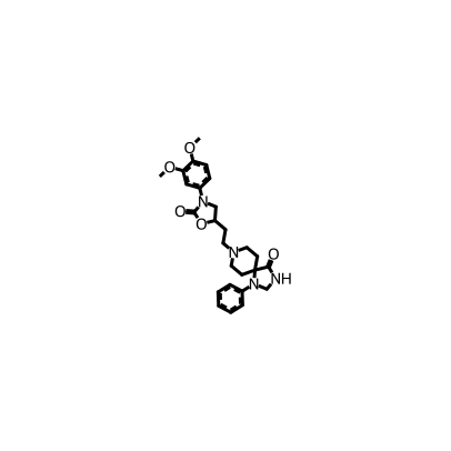 COc1ccc(N2CC(CCN3CCC4(CC3)C(=O)NCN4c3ccccc3)OC2=O)cc1OC